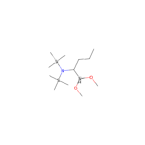 CCCC(N([Si](C)(C)C)[Si](C)(C)C)[SiH](OC)OC